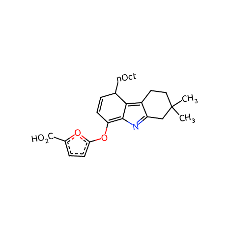 CCCCCCCCC1C=CC(Oc2ccc(C(=O)O)o2)=C2N=C3CC(C)(C)CCC3=C21